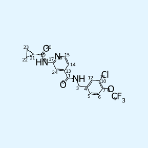 O=C(NCc1ccc(OC(F)(F)F)c(Cl)c1)c1ccnc(NC(=O)C2CC2)c1